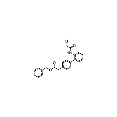 O=C(CCl)Nc1ccccc1-c1ccc(CC(=O)OCc2ccccc2)cc1